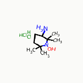 CC1(C)CCC(N)C(C)(C)N1O.Cl.Cl